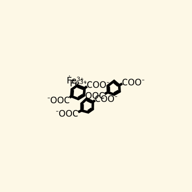 O=C([O-])c1ccc(C(=O)[O-])cc1.O=C([O-])c1ccc(C(=O)[O-])cc1.O=C([O-])c1ccc(C(=O)[O-])cc1.[Fe+3].[Fe+3]